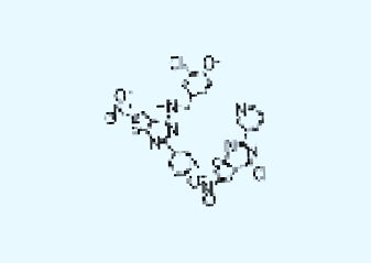 COc1ccc(CNc2nc(-c3cccnc3)nc3sc([N+](=O)[O-])cc23)cc1Cl.O=[N+]([O-])c1cc2c(Cl)nc(-c3cccnc3)nc2s1